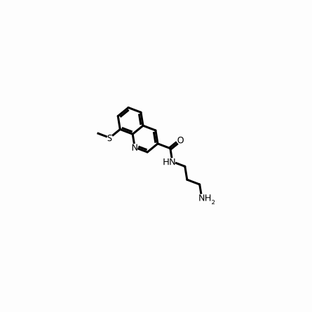 CSc1cccc2cc(C(=O)NCCCN)cnc12